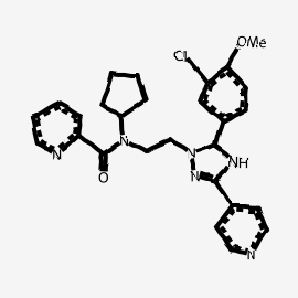 COc1ccc(C2NC(c3ccncc3)=NN2CCN(C(=O)c2ccccn2)C2CCCC2)cc1Cl